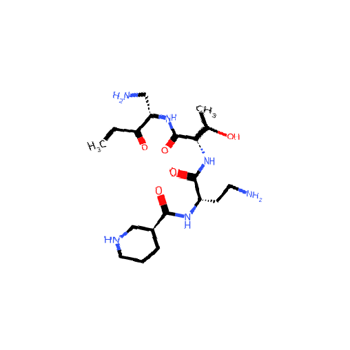 CCC(=O)[C@H](CN)NC(=O)[C@@H](NC(=O)[C@H](CCN)NC(=O)[C@H]1CCCNC1)C(C)O